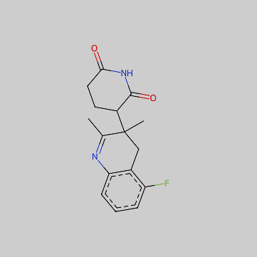 CC1=Nc2cccc(F)c2CC1(C)C1CCC(=O)NC1=O